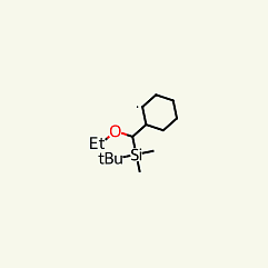 CCOC(C1[CH]CCCC1)[Si](C)(C)C(C)(C)C